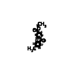 CCOC(=O)C1CCN(C(=O)c2ccc(C)cc2)CC1